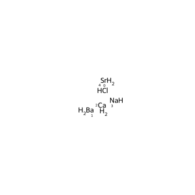 Cl.[BaH2].[CaH2].[NaH].[SrH2]